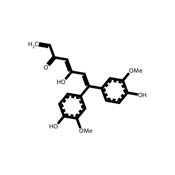 C=CC(=O)C=C(O)C=C(c1ccc(O)c(OC)c1)c1ccc(O)c(OC)c1